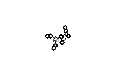 c1ccc2oc3c(N4c5ccccc5C5=Cc6ccccc6CC54)ccc(-c4nc(-c5ccc6ccccc6c5)nc(-c5ccc6ccccc6c5)n4)c3c2c#1